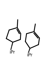 CC1=CCC(C(C)C)CC1.CC1=CCC(C(C)C)CC1